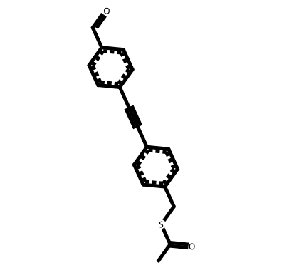 CC(=O)SCc1ccc(C#Cc2ccc(C=O)cc2)cc1